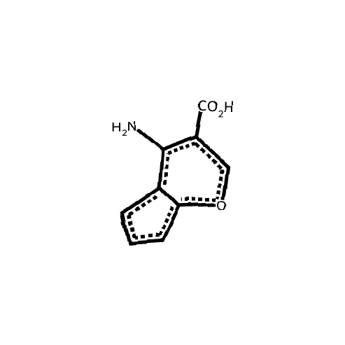 Nc1c(C(=O)O)coc2cccc1-2